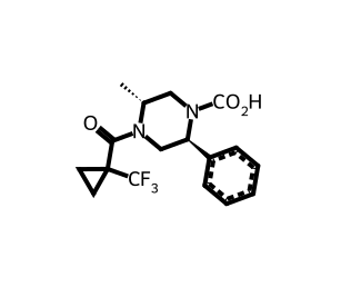 C[C@@H]1CN(C(=O)O)[C@@H](c2ccccc2)CN1C(=O)C1(C(F)(F)F)CC1